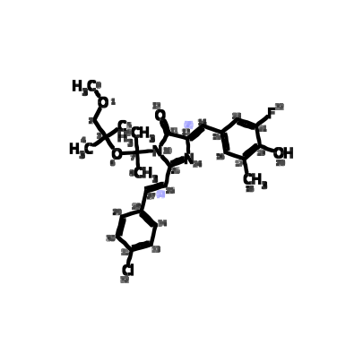 COCC(C)(C)OC(C)(C)N1C(=O)/C(=C/c2cc(C)c(O)c(F)c2)N=C1/C=C/c1ccc(Cl)cc1